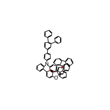 c1ccc(-c2ccc(-c3ccc(N(c4ccc(-c5ccccc5-n5c6ccccc6c6ccccc65)cc4)c4ccccc4-c4ccc5oc6cc7ccccc7cc6c5c4)cc3)cc2-c2ccccc2)cc1